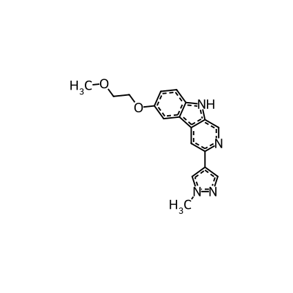 COCCOc1ccc2[nH]c3cnc(-c4cnn(C)c4)cc3c2c1